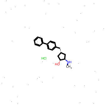 CN[C@@H]1C[C@@H](Cc2ccc(-c3ccccc3)cc2)C[C@H]1O.Cl